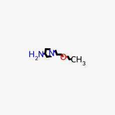 CCCOCCCN1CCC(N)CC1